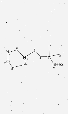 CCCCCCC(C)(C)CCN1CCOCC1